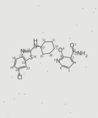 NC(=O)c1cccnc1O[C@H]1CC[C@H](Nc2nc3ccc(Cl)cc3s2)CC1